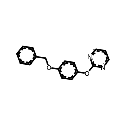 [c]1ccnc(Oc2ccc(OCc3ccccc3)cc2)n1